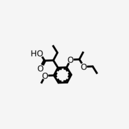 CCOC(C)Oc1cccc(OC)c1C(CC)C(=O)O